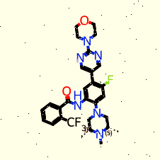 C[C@@H]1CN(c2cc(F)c(-c3cnc(N4CCOCC4)nc3)cc2NC(=O)c2ccccc2C(F)(F)F)C[C@H](C)N1C